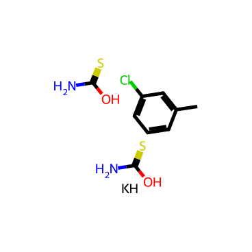 Cc1cccc(Cl)c1.NC(O)=S.NC(O)=S.[KH]